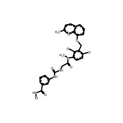 CCNC(=O)c1cccc(NC(=O)NCC(=O)N(C)c2ccc(Cl)c(COc3cccc4ccc(C)nc34)c2Cl)c1